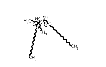 CCCCCCCCCCCCCCOC(=O)C[CH](S)[Sn][CH](S)C(CCCC)(CCCC)C(=O)OCCCCCCCCCCCCCC